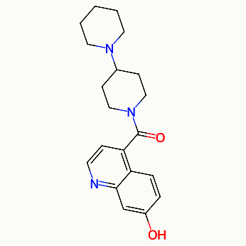 O=C(c1ccnc2cc(O)ccc12)N1CCC(N2CCCCC2)CC1